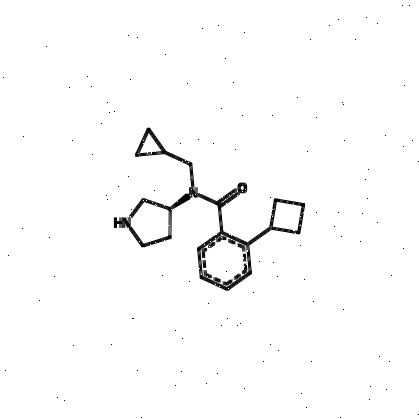 O=C(c1ccccc1C1CCC1)N(CC1CC1)[C@H]1CCNC1